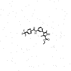 CCOC(=O)c1[nH]c(C)c(-c2cccc(NC(=O)c3ccc(C(F)(F)F)cc3)c2)c1C